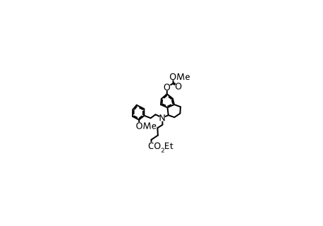 CCOC(=O)CCCCN(CCc1ccccc1OC)C1CCCc2cc(OC(=O)OC)ccc21